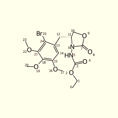 CCOC(=O)NN1C(=O)OC[C@H]1Cc1cc(OC)c(OC)c(OC)c1Br